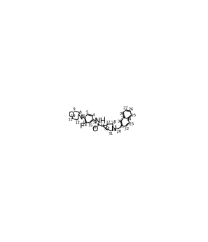 O=C(Nc1ccc(N2CCOCC2)c(F)c1)C1C2CN(Cc3ccc4ccccc4c3)CC21